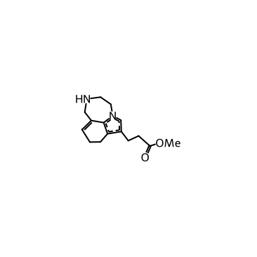 COC(=O)CCc1cn2c3c1CCC=C3CNCC2